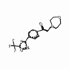 O=C(CN1CCOCC1)c1ccc(-c2noc(C(F)(F)F)n2)cc1